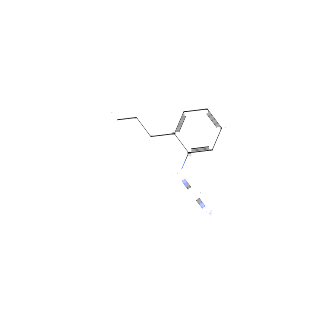 CCCc1ccccc1N=C=N